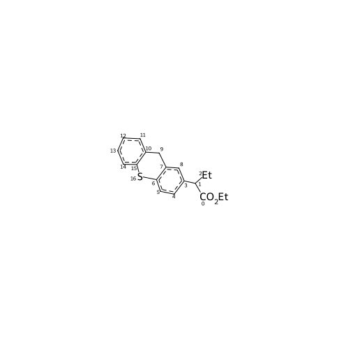 CCOC(=O)C(CC)c1ccc2c(c1)Cc1ccccc1S2